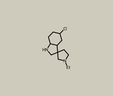 CCN1CCC2(CNC3CCC(Cl)CC32)C1